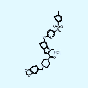 Cc1ccc(S(=O)(=O)N(C)c2ccc(Oc3ccc4cc(C(=O)N5CCN(Cc6ccc7c(c6)OCO7)CC5)n(C)c4c3)nc2)cc1.Cl